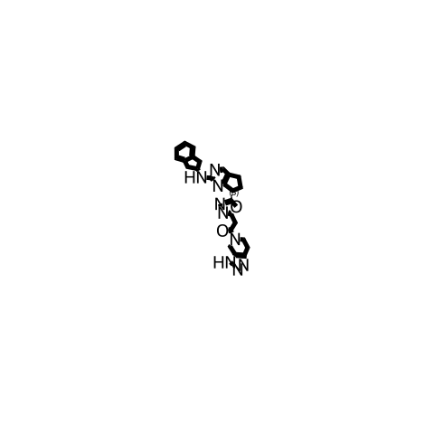 O=C(Cc1nnc([C@H]2CCc3cnc(NC4Cc5ccccc5C4)nc32)o1)N1CCc2nn[nH]c2C1